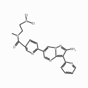 CCN(CC)CCN(C)C(=O)c1ccc(-c2cnc3c(-c4ccccn4)c(N)nn3c2)nc1